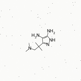 CN(C)CC(C)(C)c1n[nH]c(N)c1N